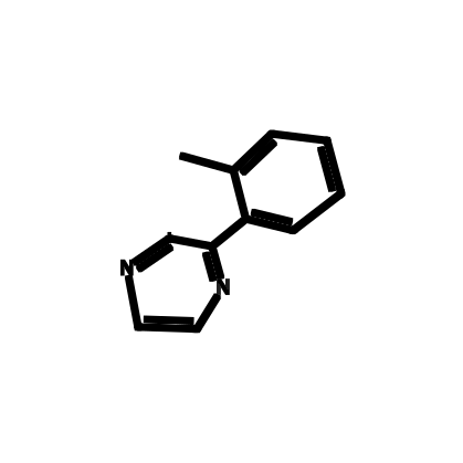 Cc1ccccc1-c1[c]nccn1